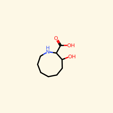 O=C(O)C1NCCCCCCC1O